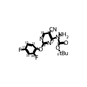 CC(C)(C)OC(=O)N(N)c1nc(Oc2ccc(F)cc2F)ncc1C#N